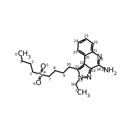 CCCCS(=O)(=O)CCCCc1c2c(nn1CC)c(N)nc1ccccc12